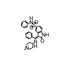 CN1CCC(N/C(=C2\C(=O)Nc3ccc(S(=O)(=O)Nc4ccccc4)cc32)c2ccccc2)CC1